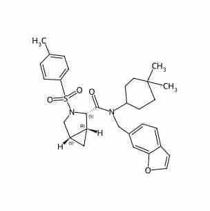 Cc1ccc(S(=O)(=O)N2C[C@H]3C[C@H]3[C@H]2C(=O)N(Cc2ccc3ccoc3c2)C2CCC(C)(C)CC2)cc1